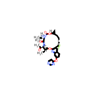 CC[C@@H]1[C@@H]2CN(C(=O)[C@H](C(C)(C)C)NC(=O)O[C@@H]3C=C3CCCCC(F)(F)c3cc4ccc(Oc5ccncn5)cc4nc3O2)[C@@H]1C(C)=O